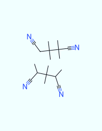 CC(C#N)C(C)(C)C(C)C#N.CC(C)(C#N)C(C)(C)CC#N